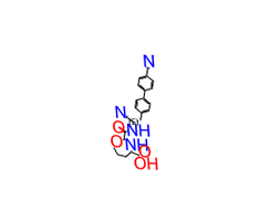 N#Cc1ccc(-c2ccc(C[C@@H](C#N)NC(=O)C3NC(C(=O)O)CCCO3)cc2)cc1